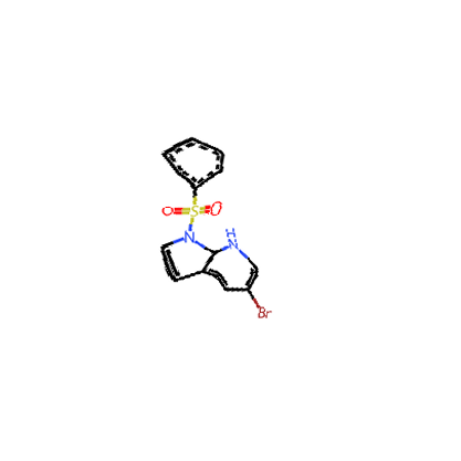 O=S(=O)(c1ccccc1)N1C=CC2=CC(Br)=CNC21